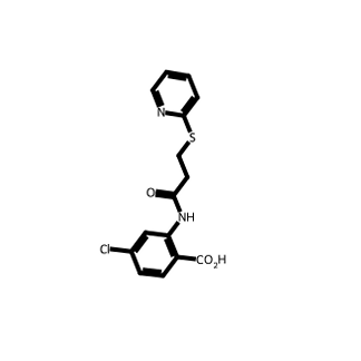 O=C(CCSc1ccccn1)Nc1cc(Cl)ccc1C(=O)O